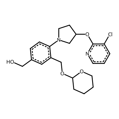 OCc1ccc(N2CCC(Oc3ncccc3Cl)C2)c(COC2CCCCO2)c1